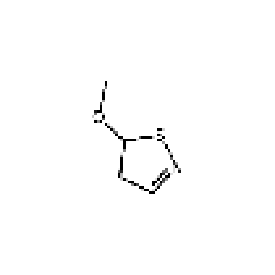 COC1[CH]C=NS1